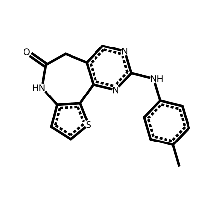 Cc1ccc(Nc2ncc3c(n2)-c2sccc2NC(=O)C3)cc1